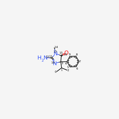 CC(C)C1(c2ccccc2)N=C(N)N(C)C1=O